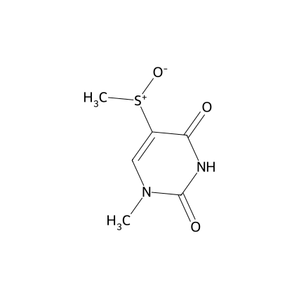 Cn1cc([S+](C)[O-])c(=O)[nH]c1=O